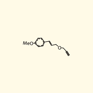 C#CCOCC=Cc1ccc(OC)cc1